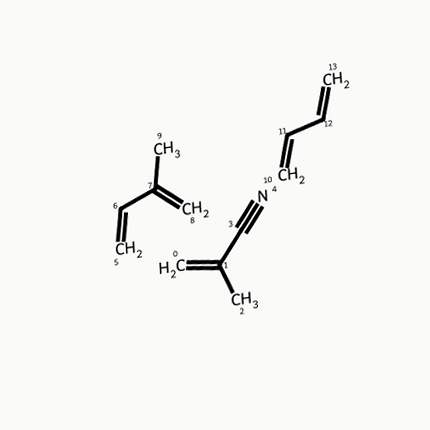 C=C(C)C#N.C=CC(=C)C.C=CC=C